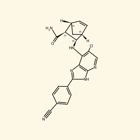 N#Cc1ccc(-c2nc3c(N[C@H]4[C@@H](C(N)=O)[C@@H]5C=C[C@H]4C5)c(Cl)cnc3[nH]2)cc1